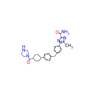 Cc1nc(C(N)=O)nn1-c1ccc(Cc2ccc(C3CCC(C(=O)N4CCNCC4)CC3)cc2)cc1